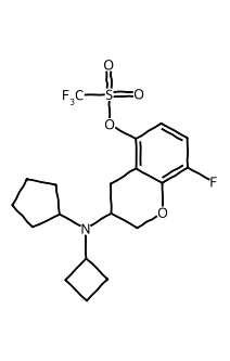 O=S(=O)(Oc1ccc(F)c2c1CC(N(C1CCCC1)C1CCC1)CO2)C(F)(F)F